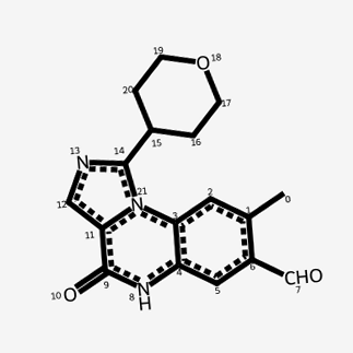 Cc1cc2c(cc1C=O)[nH]c(=O)c1cnc(C3CCOCC3)n12